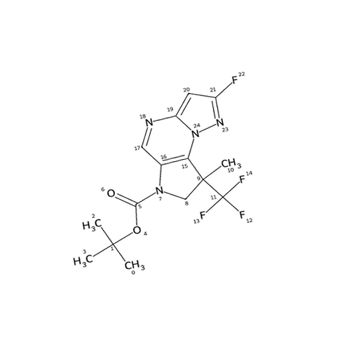 CC(C)(C)OC(=O)N1CC(C)(C(F)(F)F)c2c1cnc1cc(F)nn21